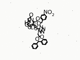 C[C@@]1(CSc2nnnn2CC(=O)OC(c2ccccc2)c2ccccc2)[C@H](C(=O)OCc2ccc([N+](=O)[O-])cc2)N2C(=O)C[C@H]2S1(=O)=O